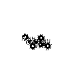 O=C(Nc1cccnc1)N[C@@H]1CCCC[C@@H]1C(=O)N1CC[C@H]2[C@H](c3ccccc3)Nc3ccccc3[C@@H]21